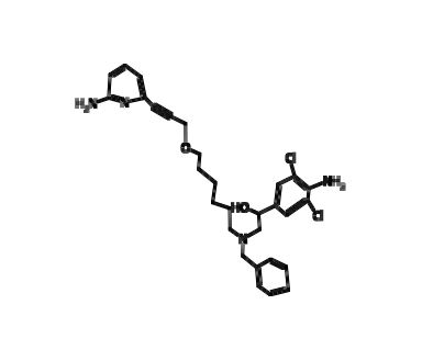 Nc1cccc(C#CCOCCCCCCN(Cc2ccccc2)CC(O)c2cc(Cl)c(N)c(Cl)c2)n1